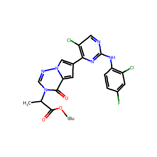 CC(C(=O)OC(C)(C)C)n1cnn2cc(-c3nc(Nc4ccc(F)cc4Cl)ncc3Cl)cc2c1=O